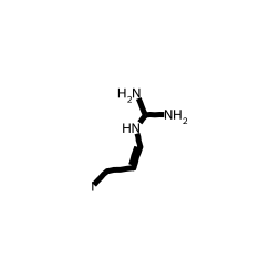 NC(N)N/C=C\CI